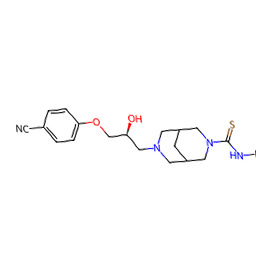 CCNC(=S)N1CC2CC(CN(C[C@H](O)COc3ccc(C#N)cc3)C2)C1